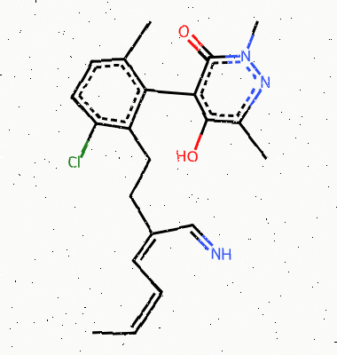 C/C=C\C=C(/C=N)CCc1c(Cl)ccc(C)c1-c1c(O)c(C)nn(C)c1=O